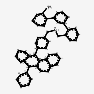 Nc1ccccc1-c1cccc(-c2ccccc2CNCc2ccc(-c3c4ccccc4c(-c4ccccc4)c4ccc5ccccc5c34)cc2)c1